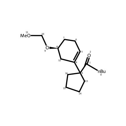 CCCCC(=O)C1(C2=CCC[C@H](OCOC)C2)CCCC1